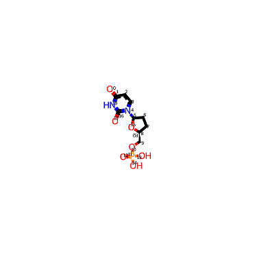 O=c1ccn(C2CC[C@@H](COP(=O)(O)O)O2)c(=O)[nH]1